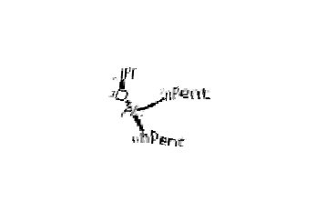 CCCC[CH2][Al]([CH2]CCCC)[O]C(C)C